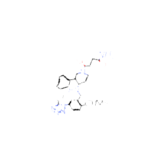 COc1ccc(-n2nnnc2C(F)(F)F)cc1CNC1CCN(C(=O)CCC(N)=O)CC1c1ccccc1